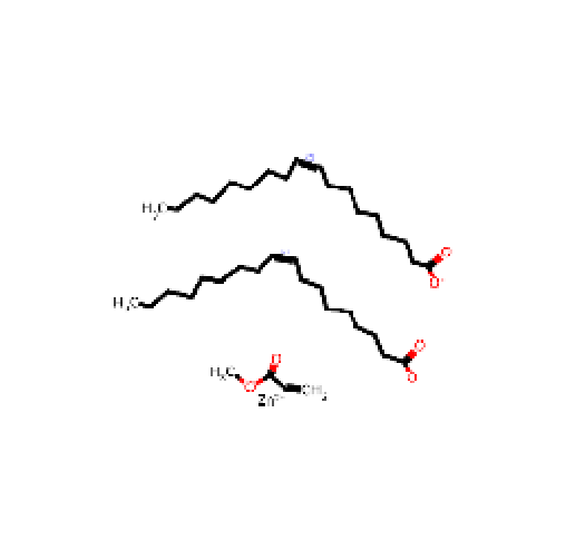 C=CC(=O)OC.CCCCCCCC/C=C\CCCCCCCC(=O)[O-].CCCCCCCC/C=C\CCCCCCCC(=O)[O-].[Zn+2]